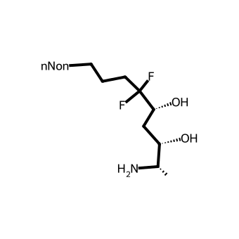 CCCCCCCCCCCCC(F)(F)[C@H](O)C[C@H](O)[C@H](C)N